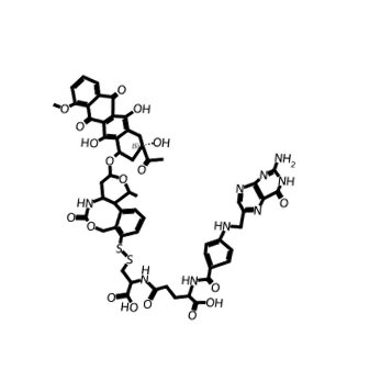 COc1cccc2c1C(=O)c1c(O)c3c(c(O)c1C2=O)C[C@@](O)(C(C)=O)CC3OC1CC2NC(=O)OCc3c(SSCC(NC(=O)CCC(NC(=O)c4ccc(NCc5cnc6nc(N)[nH]c(=O)c6n5)cc4)C(=O)O)C(=O)O)cccc3C2C(C)O1